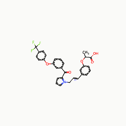 CC(Oc1cccc(/C=C/Cn2cccc2C(=O)c2cccc(Oc3ccc(C(F)(F)F)cc3)c2)c1)C(=O)O